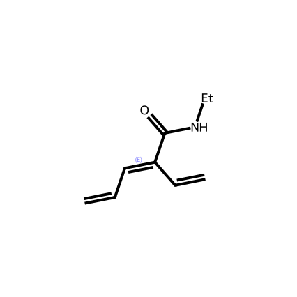 C=C/C=C(\C=C)C(=O)NCC